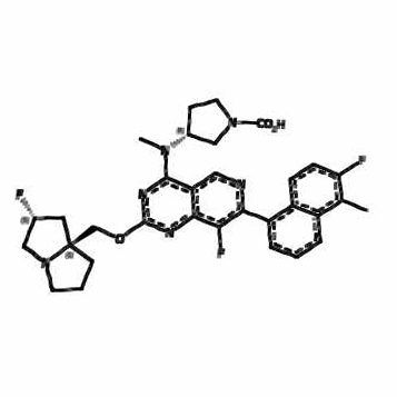 Cc1c(F)ccc2c(-c3ncc4c(N(C)[C@@H]5CCN(C(=O)O)C5)nc(OC[C@@]56CCCN5C[C@H](F)C6)nc4c3F)cccc12